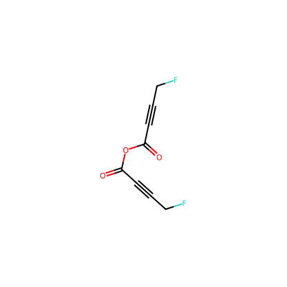 O=C(C#CCF)OC(=O)C#CCF